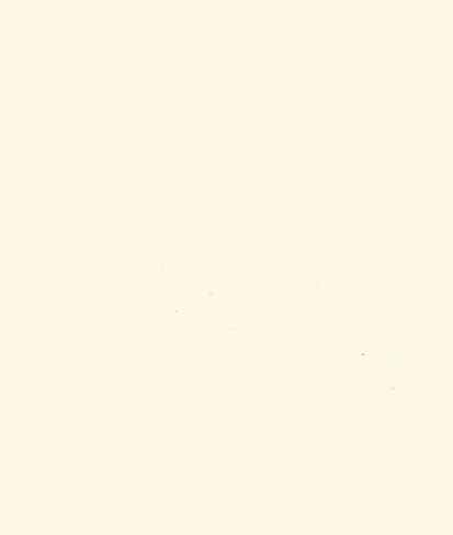 C=CCCOc1ccc(C2CCC(c3ccc(OCCCC)cc3F)CC2)c(F)c1F